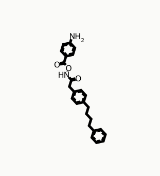 Nc1ccc(C(=O)ONC(=O)Cc2ccc(CCCCc3ccccc3)cc2)cc1